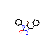 O=C1N/C(=C/c2ccccc2)C(=S)N1c1ccccc1